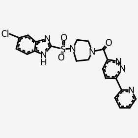 O=C(c1ccc(-c2ccccn2)nn1)N1CCN(S(=O)(=O)c2nc3cc(Cl)ccc3[nH]2)CC1